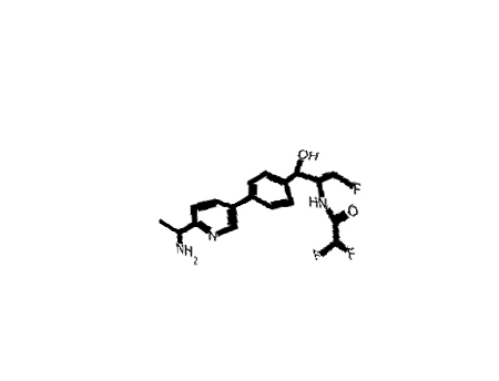 CC(N)c1ccc(-c2ccc(C(O)C(CF)NC(=O)C(F)F)cc2)cn1